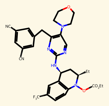 CCOC(=O)ON1c2ccc(C(F)(F)F)cc2[C@@H](Nc2ncc(N3CCOCC3)c(Cc3cc(C#N)cc(C#N)c3)n2)C[C@H]1CC